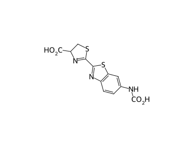 O=C(O)Nc1ccc2nc(C3=NC(C(=O)O)CS3)sc2c1